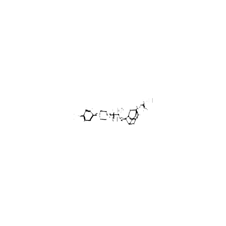 CC(C)(C(=O)NC1C2CC3CC1CC(OC(=O)O)(C3)C2)N1CCN(c2ccc(Br)cc2)CC1